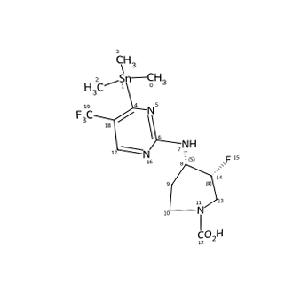 [CH3][Sn]([CH3])([CH3])[c]1nc(N[C@H]2CCN(C(=O)O)C[C@H]2F)ncc1C(F)(F)F